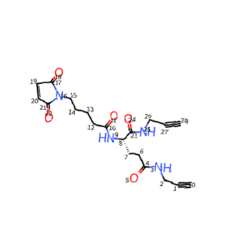 C#CCNC(=O)CC[C@H](NC(=O)CCCCN1C(=O)C=CC1=O)C(=O)NCC#C